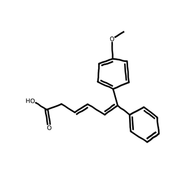 COc1ccc(/C(=C\C=C\CC(=O)O)c2ccccc2)cc1